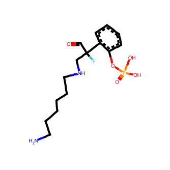 NCCCCCCNCC(F)(C=O)c1ccccc1OP(=O)(O)O